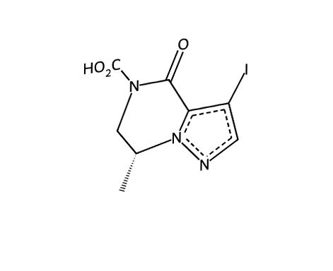 C[C@@H]1CN(C(=O)O)C(=O)c2c(I)cnn21